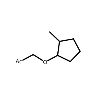 CC(=O)COC1CCCC1C